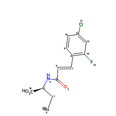 CC(C)(C)C[C@H](NC(=O)/C=C/c1ccc(Cl)cc1F)C(=O)O